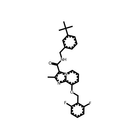 Cc1nc2c(OCc3c(F)cccc3F)cccn2c1C(=O)NCc1cccc(C(C)(C)C)c1